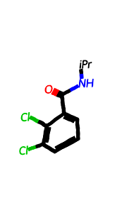 CC(C)NC(=O)c1cccc(Cl)c1Cl